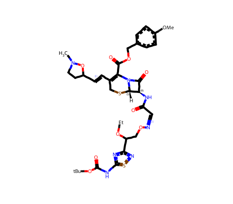 CCOC(CO/N=C\C(=O)N[C@@H]1C(=O)N2C(C(=O)OCc3ccc(OC)cc3)=C(/C=C/C3CCN(C)O3)CS[C@@H]12)c1nsc(NC(=O)OC(C)(C)C)n1